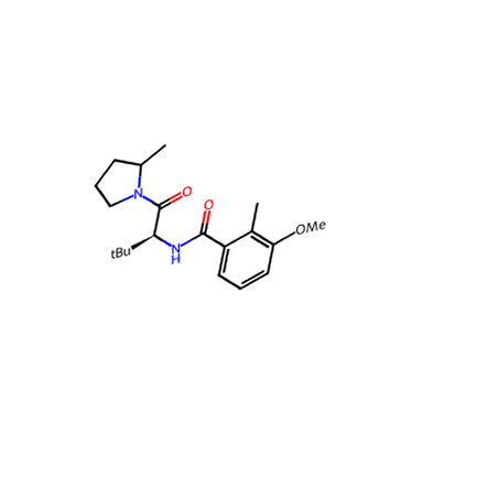 COc1cccc(C(=O)N[C@H](C(=O)N2CCCC2C)C(C)(C)C)c1C